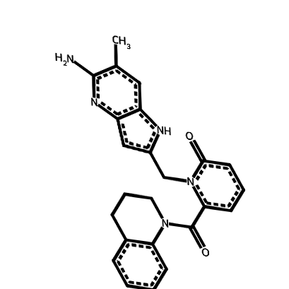 Cc1cc2[nH]c(Cn3c(C(=O)N4CCCc5ccccc54)cccc3=O)cc2nc1N